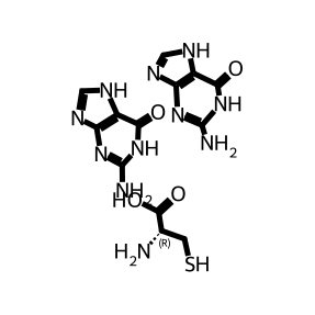 N[C@@H](CS)C(=O)O.Nc1nc2nc[nH]c2c(=O)[nH]1.Nc1nc2nc[nH]c2c(=O)[nH]1